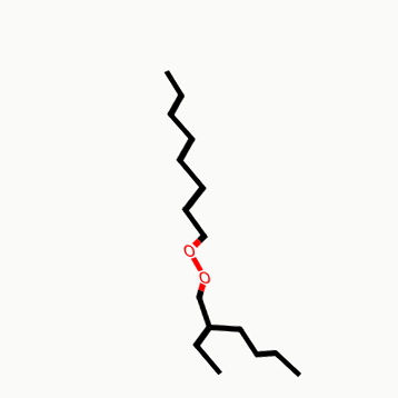 CCCCCCCCOOCC(CC)CCCC